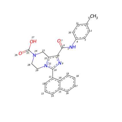 Cc1ccc(NC(=O)c2nc(-c3cccc4ccccc34)n3c2CN(C(=O)O)CC3)cc1